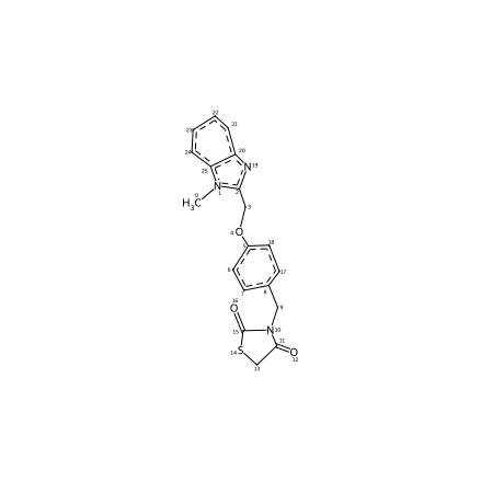 Cn1c(COc2ccc(CN3C(=O)CSC3=O)cc2)nc2ccccc21